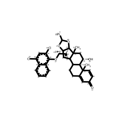 CCCC1O[C@@H]2CC3C4CCC5=CC(=O)C=CC5(C)C4[C@@H](O)CC3(C)[C@]2(C(=O)COc2c(Cl)cc(Cl)c3ccccc23)O1